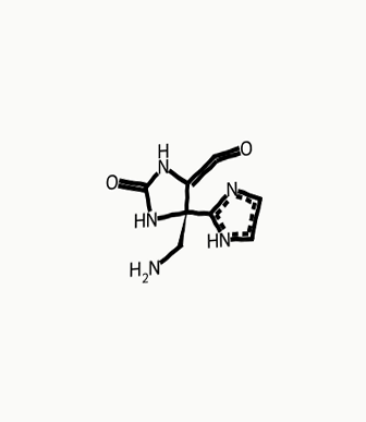 NC[C@@]1(c2ncc[nH]2)NC(=O)NC1=C=O